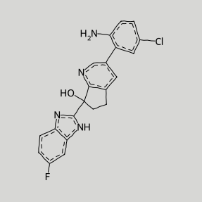 Nc1ccc(Cl)cc1-c1cnc2c(c1)CCC2(O)c1nc2ccc(F)cc2[nH]1